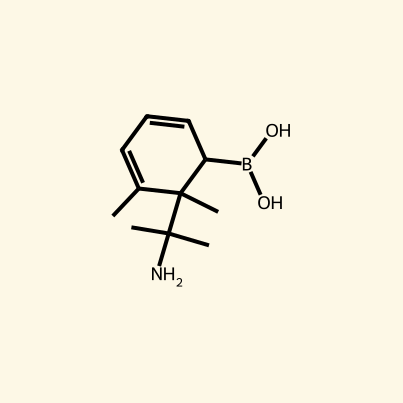 CC1=CC=CC(B(O)O)C1(C)C(C)(C)N